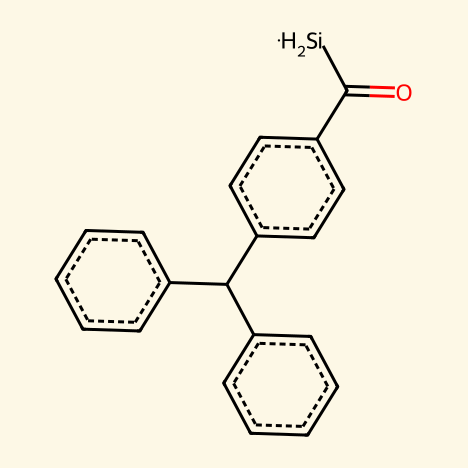 O=C([SiH2])c1ccc(C(c2ccccc2)c2ccccc2)cc1